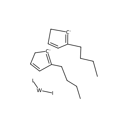 CCCCC1=[C-]CC=C1.CCCCC1=[C-]CC=C1.[I][W][I]